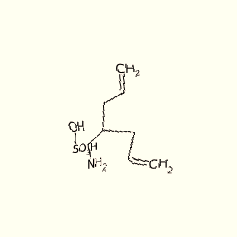 C=CCC(CN)CC=C.O=S(=O)(O)O